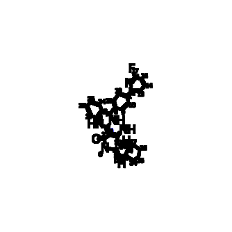 Cn1c(=O)/c(=C(/NCc2ccc(-c3cccc(F)n3)cc2)Nc2ccccc2)c(=N)n2c1=N[C@@H]1CCCC[C@@H]12